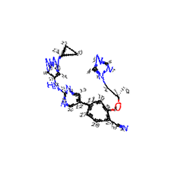 C[C@@H](Cn1cncn1)Oc1cc(-c2cnc(Nc3cnn(C4CC4)c3)nc2)ccc1C#N